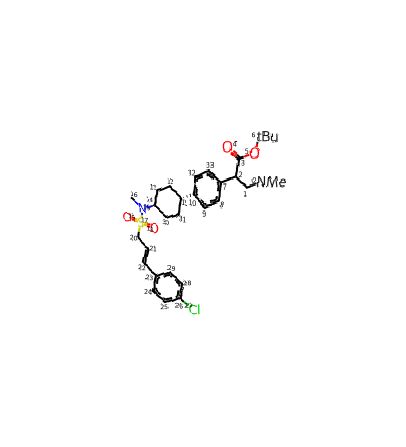 CNCC(C(=O)OC(C)(C)C)c1ccc([C@H]2CC[C@H](N(C)S(=O)(=O)CC=Cc3ccc(Cl)cc3)CC2)cc1